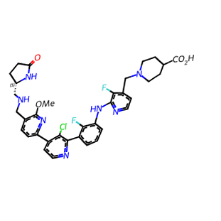 COc1nc(-c2ccnc(-c3cccc(Nc4nccc(CN5CCC(C(=O)O)CC5)c4F)c3F)c2Cl)ccc1CNC[C@@H]1CCC(=O)N1